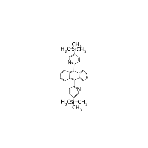 C[Si](C)(C)c1ccc(-c2c3ccccc3c(-c3ccc([Si](C)(C)C)cn3)c3ccccc23)nc1